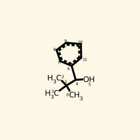 CC(C)(C)C(O)c1[c]cccc1